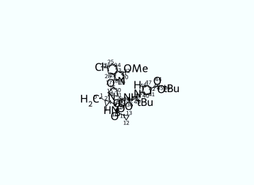 C=C[C@@H]1C[C@@]1(C(=O)NS(=O)(=O)C1CC1)N1C[C@H](Oc2ncc(OC)c3ccc(Cl)cc23)C[C@H]1C(=O)NC(=O)[C@H](Nc1ccc(C(=O)OC(C)(C)C)cc1)C(C)(C)C